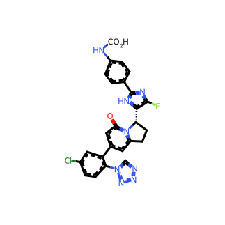 O=C(O)Nc1ccc(-c2nc(F)c([C@@H]3CCc4cc(-c5cc(Cl)ccc5-n5cnnn5)cc(=O)n43)[nH]2)cc1